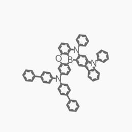 c1ccc(-c2ccc(N(c3ccc(-c4ccccc4)cc3)c3ccc4c(c3)Oc3cccc5c3B4c3cc4c6ccccc6n(-c6ccccc6)c4cc3N5c3ccccc3)cc2)cc1